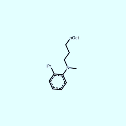 CCCCCCCCCCCN(C)c1ccccc1C(C)C